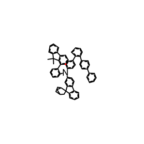 CC1(C)c2ccccc2-c2cccc(-c3ccccc3N(c3ccc(-c4ccccc4-c4ccc(-c5ccccc5)cc4)cc3)c3ccc4c(c3)C3(CC5CCC3C5)c3ccccc3-4)c21